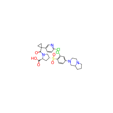 O=C(O)[C@@H]1C[C@@H](S(=O)(=O)c2ccc(N3CCN4CCCC4C3)cc2Cl)CN1C(=O)C1(c2ccc(Cl)nc2)CC1